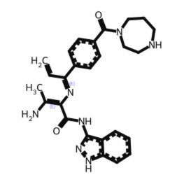 C=C/C(=N\C(C(=O)Nc1n[nH]c2ccccc12)=C(/C)N)c1ccc(C(=O)N2CCCNCC2)cc1